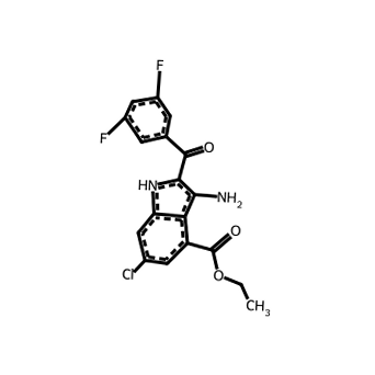 CCOC(=O)c1cc(Cl)cc2[nH]c(C(=O)c3cc(F)cc(F)c3)c(N)c12